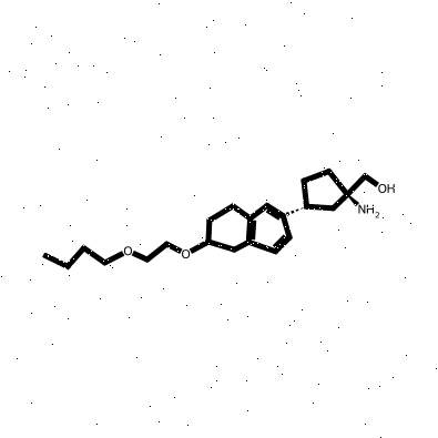 CCCCOCCOC1CCc2cc([C@@H]3CC[C@](N)(CO)C3)ccc2C1